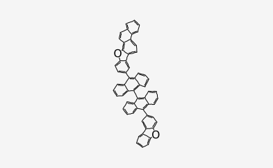 c1ccc2c(c1)ccc1c2ccc2c3cc(-c4c5ccccc5c(-c5c6ccccc6c(-c6ccc7oc8ccccc8c7c6)c6ccccc56)c5ccccc45)ccc3oc21